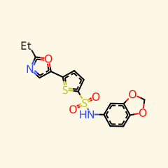 CCc1ncc(-c2ccc(S(=O)(=O)Nc3ccc4c(c3)OCO4)s2)o1